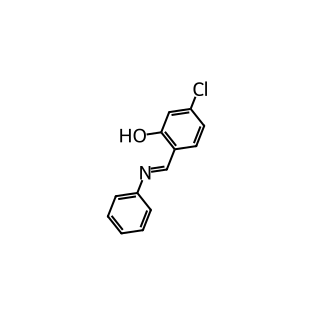 Oc1cc(Cl)ccc1C=Nc1ccccc1